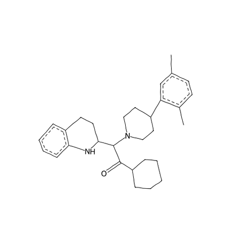 Cc1ccc(C)c(C2CCN(C(C(=O)C3CCCCC3)C3CCc4ccccc4N3)CC2)c1